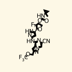 CC1(NC(=O)O[C@H]2CO[C@@H](c3cc(Nc4nc(C#N)cn5nc(COC(F)(F)F)cc45)n[nH]3)[C@H]2F)CC1